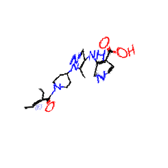 C/C=C(\C)C(=O)N1CCC(n2ncc(Nc3cnccc3C(=O)O)c2C)CC1